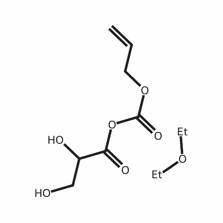 C=CCOC(=O)OC(=O)C(O)CO.CCOCC